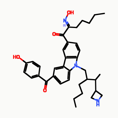 CCCCC/C(=N\O)C(=O)c1ccc2c(c1)c1cc(C(=O)c3ccc(O)cc3)ccc1n2CC(CCCC)C(C)C1CNC1